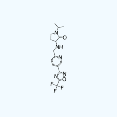 CC(C)N1CCC(NCc2ccc(-c3noc(C(F)(F)F)n3)cn2)C1=O